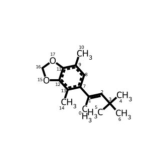 C/C(=C\C(C)(C)C)c1cc(C)c2c(c1C)OCO2